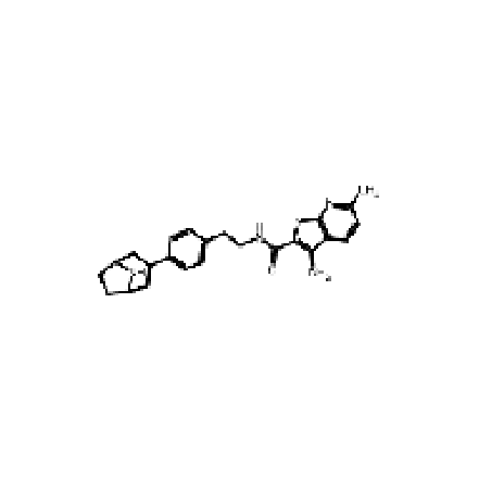 Cc1ccc2c(N)c(C(=O)NCCc3ccc(C4CC5CCC(C4)N5)cc3)sc2n1